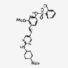 CNC1CCC(Nc2ncc(/C=C/c3ccc(NS(=O)(=O)c4ccccc4Cl)nc3OC)cn2)CC1